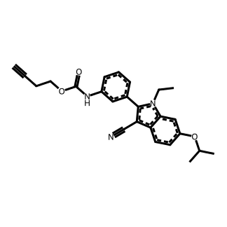 C#CCCOC(=O)Nc1cccc(-c2c(C#N)c3ccc(OC(C)C)cc3n2CC)c1